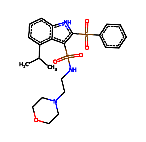 CC(C)c1cccc2[nH]c(S(=O)(=O)c3ccccc3)c(S(=O)(=O)NCCN3CCOCC3)c12